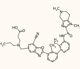 CCCN(CCC(=O)O)Cc1cc(C#N)c2oc(-c3cccc(-c4cccc(NC(=O)c5nc6c(n5C)CCN(C)C6)c4C)c3C)nc2c1